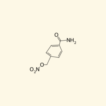 NC(=O)c1ccc(CO[N+](=O)[O-])cc1